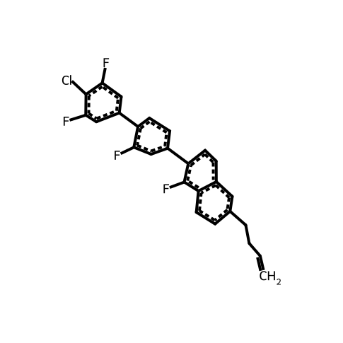 C=CCCc1ccc2c(F)c(-c3ccc(-c4cc(F)c(Cl)c(F)c4)c(F)c3)ccc2c1